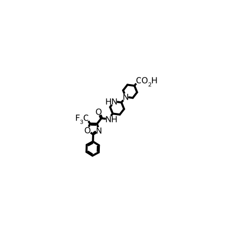 O=C(NC1CCC(N2CCC(C(=O)O)CC2)NC1)c1nc(-c2ccccc2)oc1C(F)(F)F